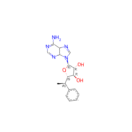 C[C@H](c1cc[c]cc1)[C@@H]1O[C@@H](N2C=NC3C(N)=NC=NC32)[C@H](O)[C@H]1O